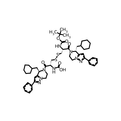 CC(C)(C)OC(=O)N[C@@H](CSSC[C@H](NC(=O)O)C(=O)N1CCn2nc(-c3ccccc3)cc2[C@H]1CC1CCCCC1)C(=O)N1CCn2nc(-c3ccccc3)cc2[C@H]1CC1CCCCC1